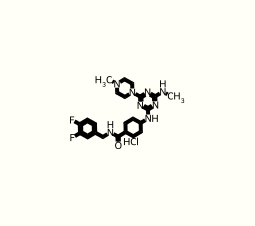 CNc1nc(NC2CCC(C(=O)NCc3ccc(F)c(F)c3)CC2)nc(N2CCN(C)CC2)n1.Cl